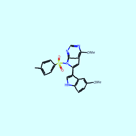 COc1ccc2[nH]cc(-c3cc4c(OC)ncnc4n3S(=O)(=O)c3ccc(C)cc3)c2c1